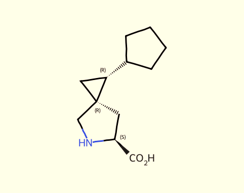 O=C(O)[C@@H]1C[C@]2(CN1)C[C@@H]2C1CCCC1